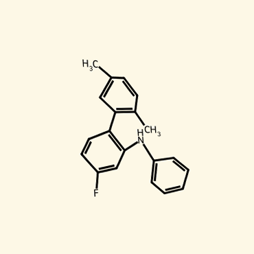 Cc1ccc(C)c(-c2ccc(F)cc2Nc2ccccc2)c1